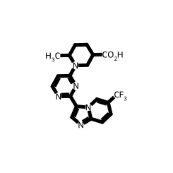 CC1CCC(C(=O)O)CN1c1ccnc(-c2cnc3ccc(C(F)(F)F)cn23)n1